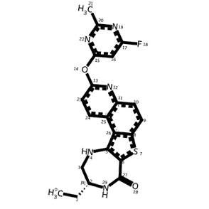 CC[C@@H]1CNc2c(sc3ccc4nc(Oc5cc(F)nc(C)n5)ccc4c23)C(=O)N1